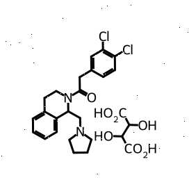 O=C(Cc1ccc(Cl)c(Cl)c1)N1CCc2ccccc2C1CN1CCCC1.O=C(O)C(O)C(O)C(=O)O